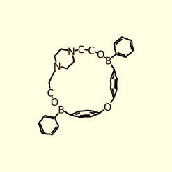 c1ccc(B2OCCN3CCN(CCOB(c4ccccc4)c4ccc(cc4)Oc4ccc2cc4)CC3)cc1